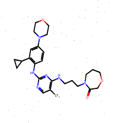 O=C1COCCCN1CCCNc1nc(Nc2ccc(N3CCOCC3)cc2C2CC2)ncc1C(F)(F)F